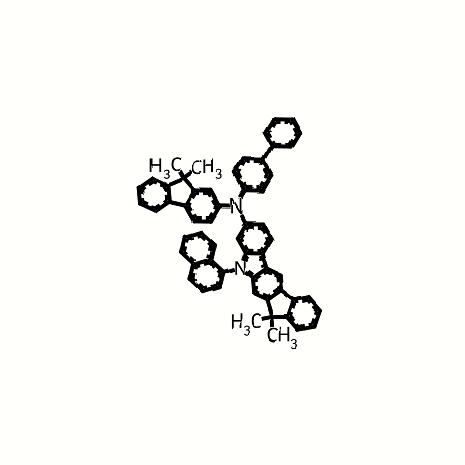 CC1(C)c2ccccc2-c2ccc(N(c3ccc(-c4ccccc4)cc3)c3ccc4c5cc6c(cc5n(-c5cccc7ccccc57)c4c3)C(C)(C)c3ccccc3-6)cc21